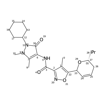 Cc1c(C(=O)Nc2c(C)n(C)n(C3CCCCC3)c2=O)noc1C1C=CC[C@@H](C(C)C)O1